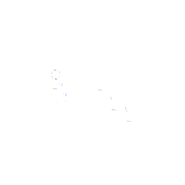 CC/C=C\C/C=C\C/C=C\C/C=C\C/C=C\CCCCSC(CC)(CC)C(=O)NC(CC(C)C)C(=O)Nc1ccc(O)c(C(=O)O)c1